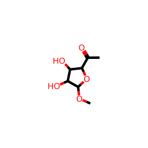 COC1OC(C(C)=O)C(O)C1O